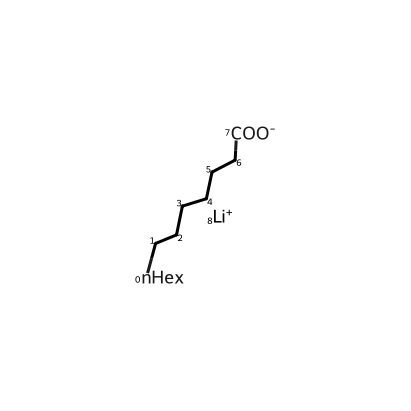 CCCCCCCCCCCCC(=O)[O-].[Li+]